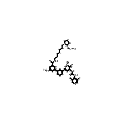 CCOc1cc(C(=O)NCCCCCCCN2CCC[C@@H]2COC)cc(-c2cccc(-c3cc(NC(=O)Nc4c(C)cncc4Cl)c(=O)n(CC)n3)c2)c1